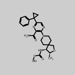 C[C@@H]1OCC2(CCN(c3ncc(C4(c5ccccc5)CC4)nc3C(N)=O)CC2)[C@@H]1NC(=O)OC(C)(C)C